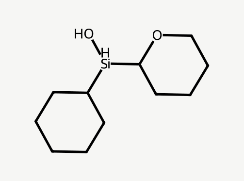 O[SiH](C1CCCCC1)C1CCCCO1